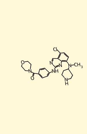 CN(c1ccc(Cl)c2cnc(Nc3ccc(C(=O)N4CCOCC4)cc3)nc12)C1CCNCC1